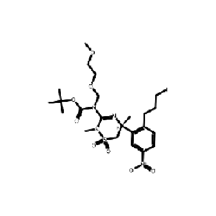 COCCOCN(C(=O)OC(C)(C)C)C1=N[C@](C)(c2cc([N+](=O)[O-])ccc2CCCI)CS(=O)(=O)N1C